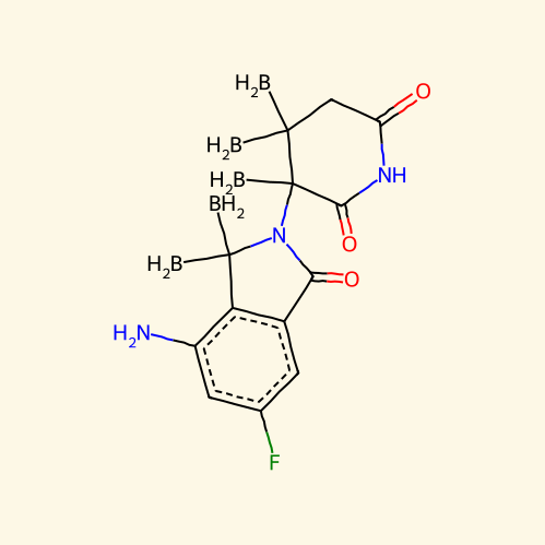 BC1(B)c2c(N)cc(F)cc2C(=O)N1C1(B)C(=O)NC(=O)CC1(B)B